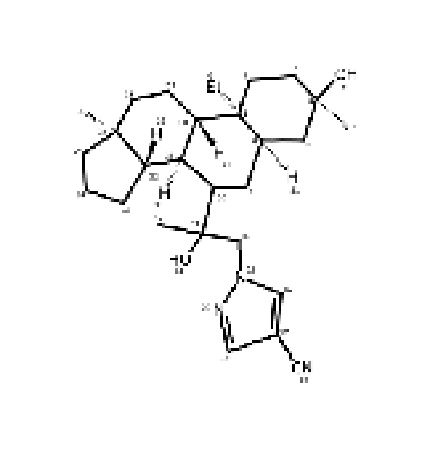 CC[C@]12CC[C@@](C)(O)C[C@H]1CC(C(C)(O)Cn1cc(C#N)cn1)[C@H]1[C@@H]3CCC[C@@]3(C)CC[C@@H]12